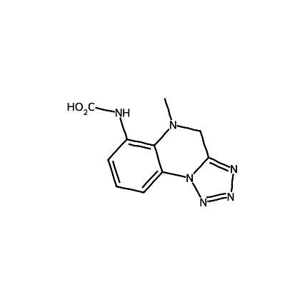 CN1Cc2nnnn2-c2cccc(NC(=O)O)c21